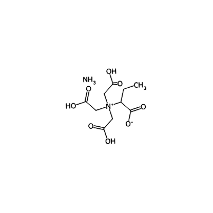 CCC(C(=O)[O-])[N+](CC(=O)O)(CC(=O)O)CC(=O)O.N